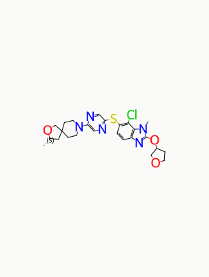 C[C@H]1CC2(CCN(c3cnc(Sc4ccc5nc(OC6CCOC6)n(C)c5c4Cl)cn3)CC2)CO1